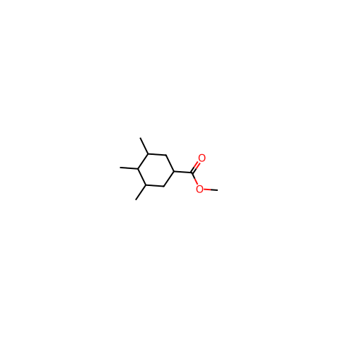 COC(=O)C1CC(C)C(C)C(C)C1